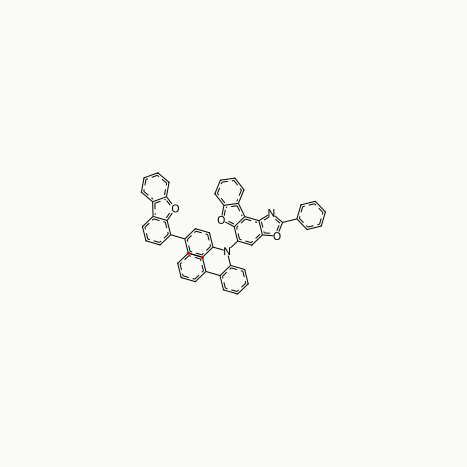 c1ccc(-c2nc3c(cc(N(c4ccc(-c5cccc6c5oc5ccccc56)cc4)c4ccccc4-c4ccccc4)c4oc5ccccc5c43)o2)cc1